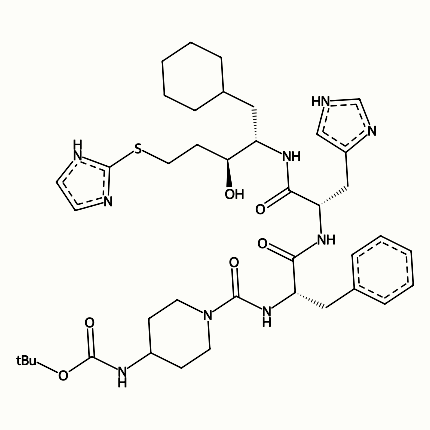 CC(C)(C)OC(=O)NC1CCN(C(=O)N[C@@H](Cc2ccccc2)C(=O)N[C@@H](Cc2c[nH]cn2)C(=O)N[C@@H](CC2CCCCC2)[C@@H](O)CCSc2ncc[nH]2)CC1